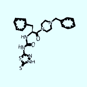 O=C(Nc1n[nH]c(=S)s1)N[C@@H](Cc1ccccc1)C(=O)N1CCN(Cc2ccccc2)CC1